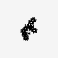 c1ccc(C2=NC(c3ccc4ccccc4c3)NC(c3ccc4ccc5c(c4c3)NC(c3ccccc3)S5)=N2)cc1